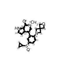 Cn1cc(-c2cc([S+]([O-])C3CC3)ccc2N2CC3(COC3)C2)c2cc[nH]c2c1=O